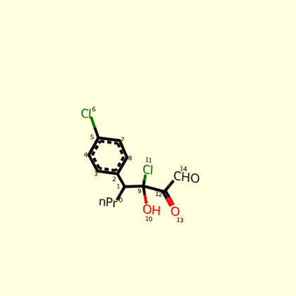 CCCC(c1ccc(Cl)cc1)C(O)(Cl)C(=O)C=O